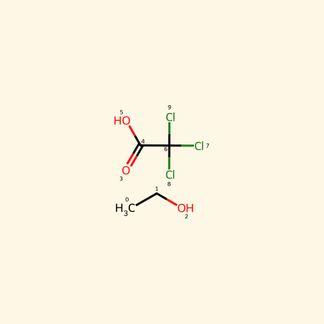 CCO.O=C(O)C(Cl)(Cl)Cl